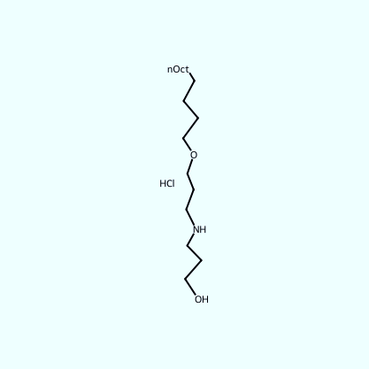 CCCCCCCCCCCCOCCCNCCCO.Cl